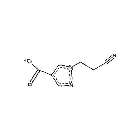 N#CCCn1cc(C(=O)O)cn1